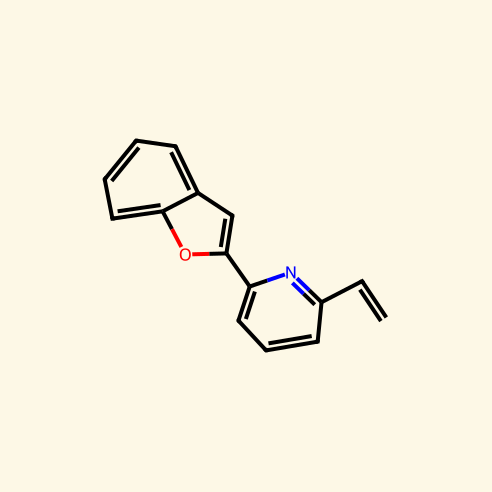 C=Cc1cccc(-c2cc3ccccc3o2)n1